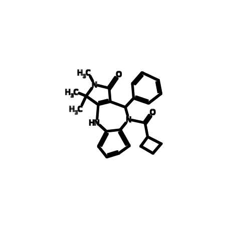 CN1C(=O)C2=C(Nc3ccccc3N(C(=O)C3CCC3)C2c2ccccc2)C1(C)C